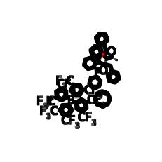 C1=C\CC/C=C\CC/1.C[C@H]1OC(c2ccccc2)=N[C@H]1C(Cc1ccccc1)(Cc1ccccc1)OP(C1CCCCC1)C1CCCCC1.FC(F)(F)c1cc([B-](c2cc(C(F)(F)F)cc(C(F)(F)F)c2)(c2cc(C(F)(F)F)cc(C(F)(F)F)c2)c2cc(C(F)(F)F)cc(C(F)(F)F)c2)cc(C(F)(F)F)c1.[Ir]